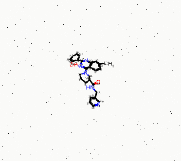 Cc1ccc2c(N3CCCC(C(=O)NCc4cccnc4)C3)nc(-c3ccccc3O)nc2c1